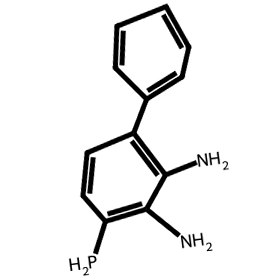 Nc1c(P)ccc(-c2ccccc2)c1N